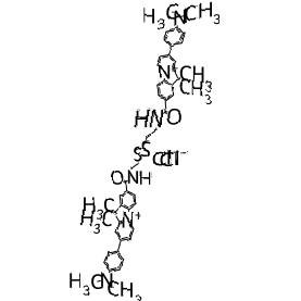 CN(C)c1ccc(-c2cc[n+]3c(c2)C(C)(C)c2cc(C(=O)NCCSSCCNC(=O)c4ccc5c(c4)C(C)(C)c4cc(-c6ccc(N(C)C)cc6)cc[n+]4-5)ccc2-3)cc1.[Cl-].[Cl-]